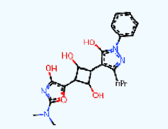 CCCc1nn(-c2ccccc2)c(O)c1C1C(O)C(c2oc(N(C)C)nc2O)C1O